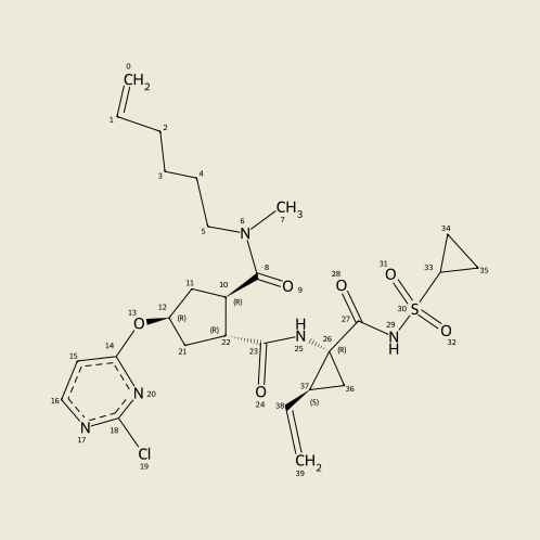 C=CCCCCN(C)C(=O)[C@@H]1C[C@H](Oc2ccnc(Cl)n2)C[C@H]1C(=O)N[C@]1(C(=O)NS(=O)(=O)C2CC2)C[C@H]1C=C